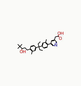 CCC(CC)(c1ccc(CCC(O)C(C)(C)C)c(C)c1)c1ccc(-c2cncc(CC(=O)O)c2)c(C)c1